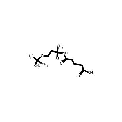 CC(=O)CCCC(=O)NC(C)(C)CCOC(C)(C)C